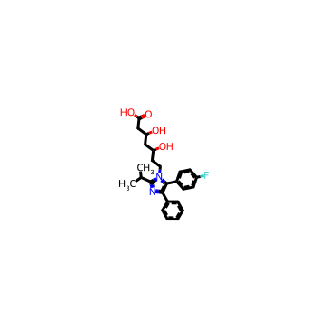 CC(C)c1nc(-c2ccccc2)c(-c2ccc(F)cc2)n1CCC(O)CC(O)CC(=O)O